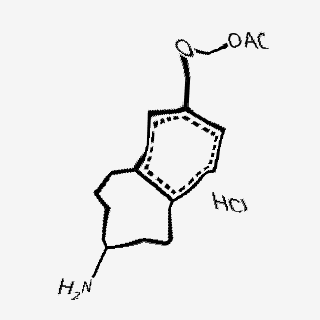 CC(=O)OOc1ccc2c(c1)CC(N)C2.Cl